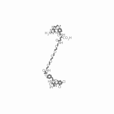 CC(C)c1nn(-c2c(Cl)cc(Cl)cc2Cl)c2nc(Cc3ccc(OC(C)(C)C(=O)NCCOCCOCCOCCOCCOCCNC(=O)CC[C@H](NC(=O)c4ccc(N(C)Cc5cnc6nc(N)nc(N)c6n5)cc4)C(=O)O)cc3)[nH]c(=O)c12